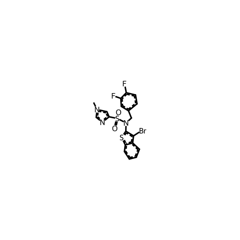 Cn1cnc(S(=O)(=O)N(Cc2ccc(F)c(F)c2)c2sc3ccccc3c2Br)c1